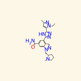 CCn1nc(C)cc1-c1nnc(-c2cc(C(N)=O)cc3c2cnn3C[C@H]2CCCN2C)[nH]1